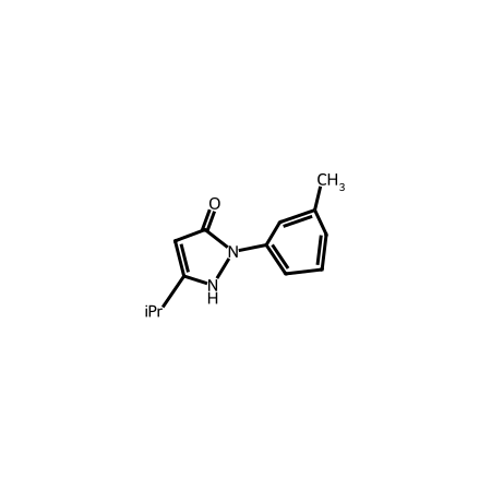 Cc1cccc(-n2[nH]c(C(C)C)cc2=O)c1